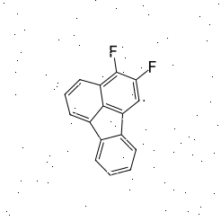 Fc1[c]c2c3c(cccc3c1F)-c1ccccc1-2